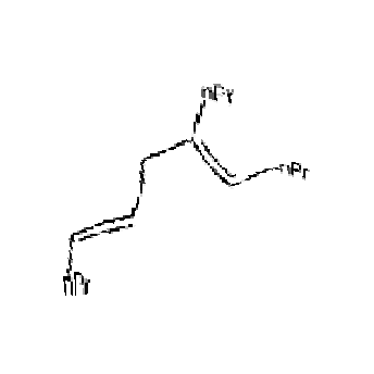 CCCC=CCC(=CCCC)CCC